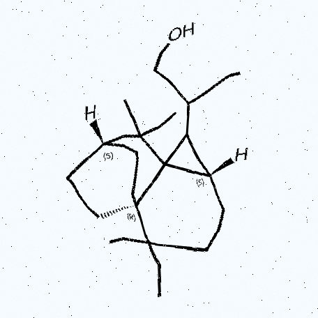 CC(CO)C1[C@@H]2CCC(C)(C)[C@@]34CC[C@@H](C3)C(C)(C)C124